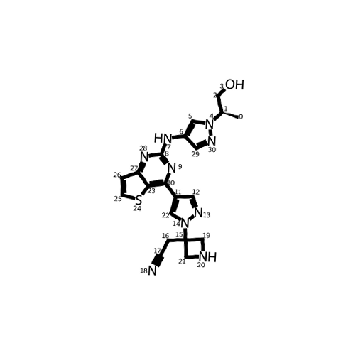 C[C@H](CO)n1cc(Nc2nc(-c3cnn(C4(CC#N)CNC4)c3)c3sccc3n2)cn1